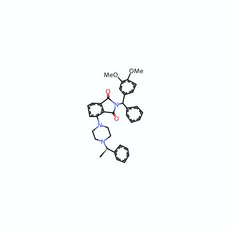 COc1ccc(C(c2ccccc2)N2C(=O)c3cccc(N4CCN([C@H](C)c5ccccc5)CC4)c3C2=O)cc1OC